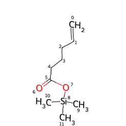 C=CCCCC(=O)O[Si](C)(C)C